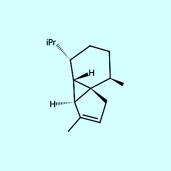 CC1=CC[C@@]23[C@@H]([C@H](C(C)C)CC[C@H]2C)[C@H]13